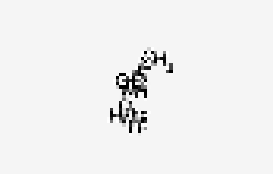 COCc1cc(C(=O)NCc2ccc3[nH]c(C(F)(F)F)cc3c2)on1